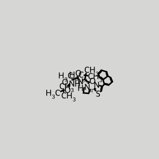 C[C@H](NC(=O)OC(C)(C)C)C(=O)N[C@H](C(=O)N1CCC[C@H]1c1nc(-c2cccc3ccccc23)cs1)C(C)(C)C